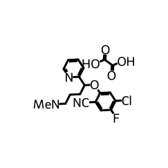 CNCCCC(Oc1cc(Cl)c(F)cc1C#N)c1ccccn1.O=C(O)C(=O)O